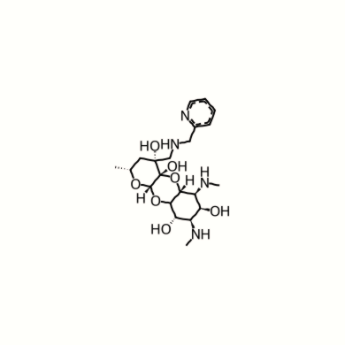 CN[C@@H]1[C@H](O)[C@H](NC)[C@H]2O[C@]3(O)[C@H](OC2[C@H]1O)O[C@H](C)C[C@@]3(O)CNCc1ccccn1